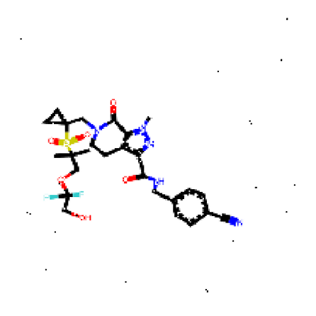 Cn1nc(C(=O)NCc2ccc(C#N)cc2)c2c1C(=O)N(CC1(S(=O)(=O)C(C)(C)COC(F)(F)CO)CC1)CC2